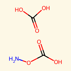 NOC(=O)O.O=C(O)O